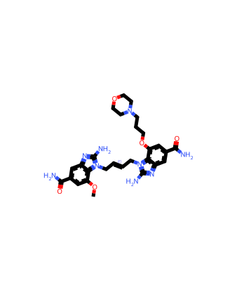 COc1cc(C(N)=O)cc2nc(N)n(C/C=C/Cn3c(N)nc4cc(C(N)=O)cc(OCCCN5CCOCC5)c43)c12